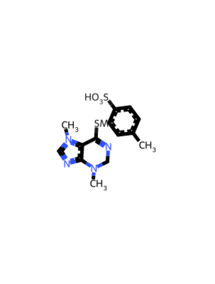 CSC1=NCN(C)c2ncn(C)c21.Cc1ccc(S(=O)(=O)O)cc1